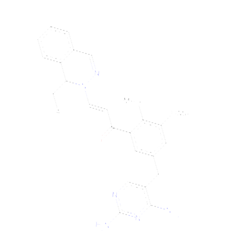 COc1cc(Cc2cnc(N)nc2N)cc(C(=O)/C=C/N2N=Cc3ccccc3C2CC(C)=O)c1OC